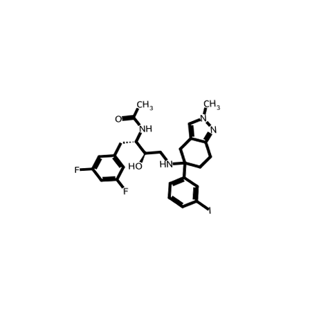 CC(=O)N[C@@H](Cc1cc(F)cc(F)c1)[C@H](O)CNC1(c2cccc(I)c2)CCc2nn(C)cc2C1